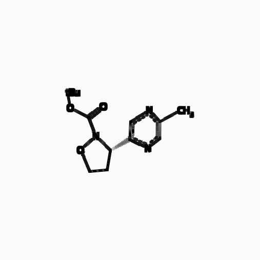 Cc1cnc([C@@H]2CCON2C(=O)OC(C)(C)C)cn1